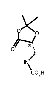 CC1(C)OC(=O)[C@@H](CNC(=O)O)O1